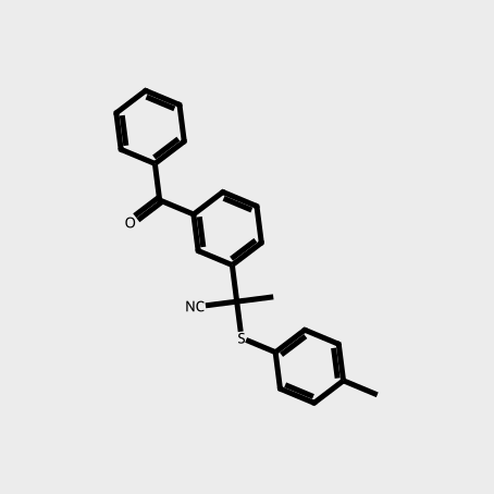 Cc1ccc(SC(C)(C#N)c2cccc(C(=O)c3ccccc3)c2)cc1